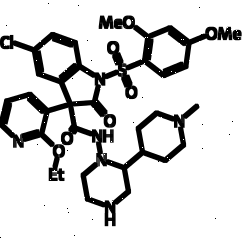 CCOc1ncccc1C1(C(=O)NN2CCNCC2C2CCN(C)CC2)C(=O)N(S(=O)(=O)c2ccc(OC)cc2OC)c2ccc(Cl)cc21